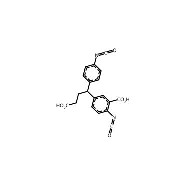 O=C=Nc1ccc(C(CCC(=O)O)c2ccc(N=C=O)c(C(=O)O)c2)cc1